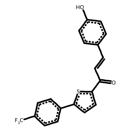 O=C(/C=C/c1ccc(O)cc1)c1ccc(-c2ccc(C(F)(F)F)cc2)s1